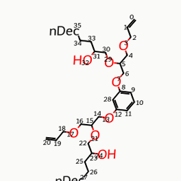 C=CCOCC(COc1cccc(OCC(COCC=C)OCC(O)CCCCCCCCCCCC)c1)OCC(O)CCCCCCCCCCCC